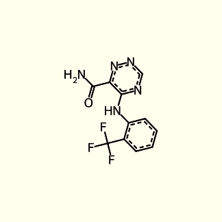 NC(=O)c1nncnc1Nc1ccccc1C(F)(F)F